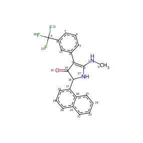 CNC1=C(c2cccc(C(F)(F)F)c2)C(=O)C(c2cccc3ccccc23)N1